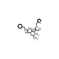 CC(C)C[C@@H](NC(=O)OCc1ccccc1)C(=O)NC(C=O)CSCc1cccs1